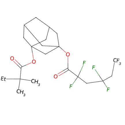 CCC(C)(C)C(=O)OC12CC3CC(C1)CC(OC(=O)C(F)(F)CC(F)(F)CC(F)(F)F)(C3)C2